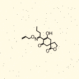 C=CCON=C(CCC)C1=C(O)CC2(CCOC2=O)CC1=O